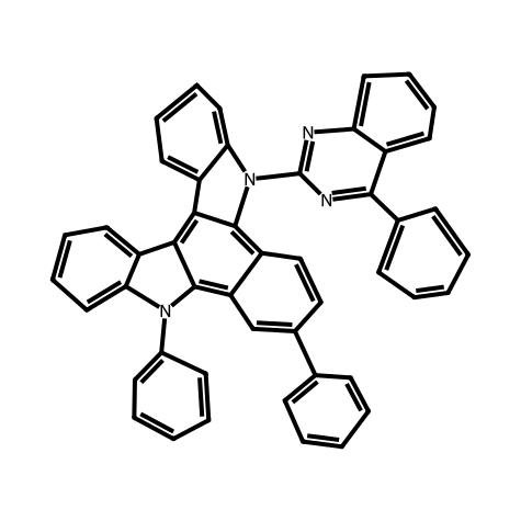 c1ccc(-c2ccc3c(c2)c2c(c4ccccc4n2-c2ccccc2)c2c4ccccc4n(-c4nc(-c5ccccc5)c5ccccc5n4)c32)cc1